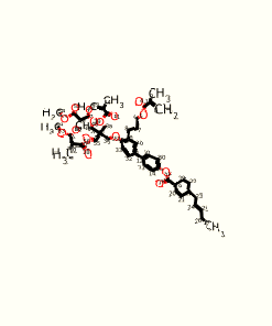 C=C(C)C(=O)OCCCc1cc(-c2ccc(OC(=O)C3CCC(CCCCC)CC3)cc2)ccc1OCC(COC(=O)C(=C)C)(COC(=O)C(C)C(=O)OC)COC(=O)C(C)C(=O)OC